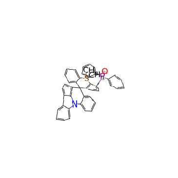 CS1(C)c2ccccc2C2(c3ccccc3-n3c4ccccc4c4cccc2c43)c2cccc(P(=O)(c3ccccc3)c3ccccc3)c21